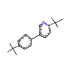 CC(C)(C)c1ccc(-c2ccc(C(C)(C)C)nc2)cc1